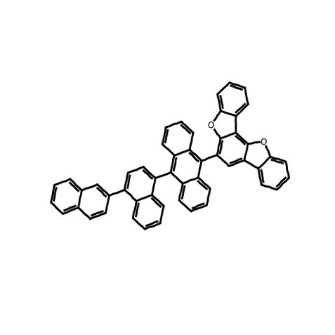 c1ccc2cc(-c3ccc(-c4c5ccccc5c(-c5cc6c7ccccc7oc6c6c5oc5ccccc56)c5ccccc45)c4ccccc34)ccc2c1